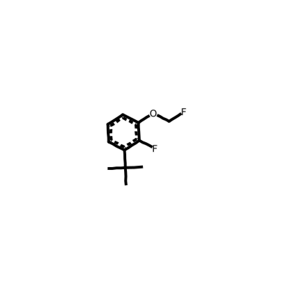 CC(C)(C)c1cccc(OCF)c1F